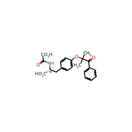 CC(C)(Oc1ccc(C[C@@H](NC(=O)C(=O)O)C(=O)O)cc1)C(=O)c1ccccc1